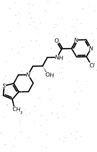 Cc1csc2c1CCN(C[C@@H](O)CNC(=O)c1cc(Cl)ncn1)C2